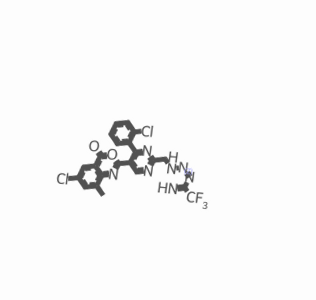 Cc1cc(Cl)cc2c(=O)oc(-c3cnc(CN/N=N\C(=N)C(F)(F)F)nc3-c3ccccc3Cl)nc12